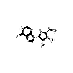 O=c1[nH]cnc2c1ncn2[C@@H]1O[C@H](CO)[C@@H](O)[C@@H]1O